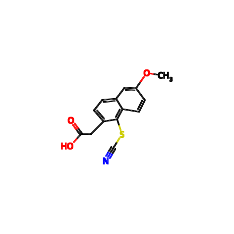 COc1ccc2c(SC#N)c(CC(=O)O)ccc2c1